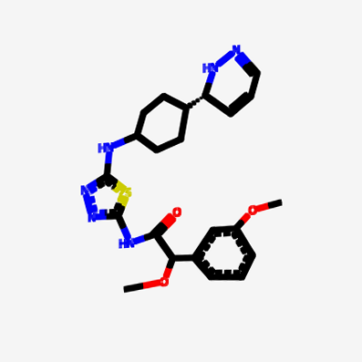 COc1cccc(C(OC)C(=O)Nc2nnc(NC3CCC([C@H]4C=CC=NN4)CC3)s2)c1